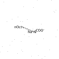 CCCCCCCCC=CCCCCCCCCN(C)CC(=O)[O-].[Na+]